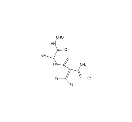 CCC=C(N)C(C(=O)NC(CCC)C(=O)NC=O)=C(CC)CC